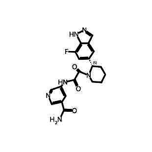 NC(=O)c1cncc(NC(=O)C(=O)N2CCCC[C@H]2c2cc(F)c3[nH]ncc3c2)c1